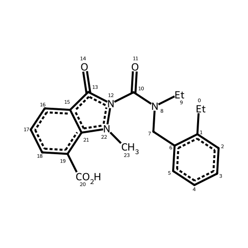 CCc1ccccc1CN(CC)C(=O)n1c(=O)c2cccc(C(=O)O)c2n1C